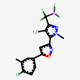 Cc1cc(-c2cc(-c3c(C(F)(F)F)c(C(F)(F)P(F)F)nn3C)no2)ccc1Cl